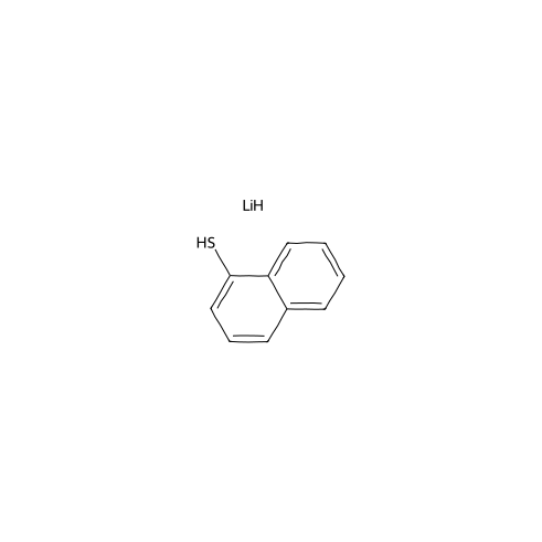 Sc1cccc2ccccc12.[LiH]